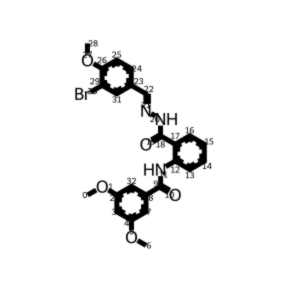 COc1cc(OC)cc(C(=O)Nc2ccccc2C(=O)NN=Cc2ccc(OC)c(Br)c2)c1